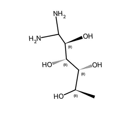 C[C@@H](O)[C@@H](O)[C@H](O)[C@H](O)C(N)N